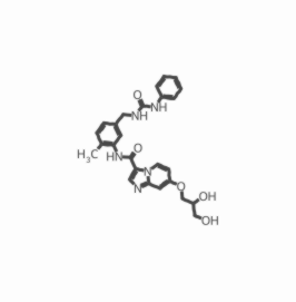 Cc1ccc(CNC(=O)Nc2ccccc2)cc1NC(=O)c1cnc2cc(OCC(O)CO)ccn12